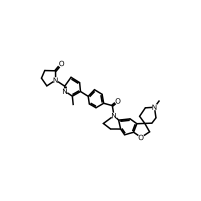 Cc1nc(N2CCCC2=O)ccc1-c1ccc(C(=O)N2CCc3cc4c(cc32)C2(CCN(C)CC2)CO4)cc1